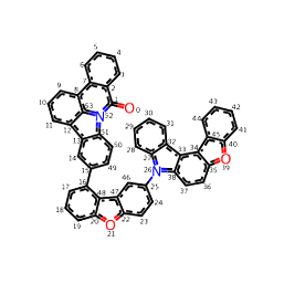 O=c1c2ccccc2c2cccc3c4cc(-c5cccc6oc7ccc(-n8c9ccccc9c9c%10c(ccc98)oc8ccccc8%10)cc7c56)ccc4n1c23